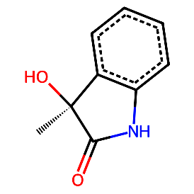 C[C@@]1(O)C(=O)Nc2ccccc21